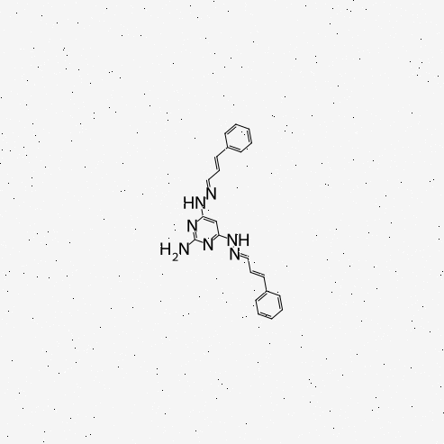 Nc1nc(N/N=C/C=C/c2ccccc2)cc(N/N=C/C=C/c2ccccc2)n1